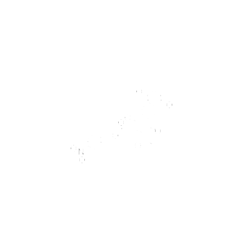 COc1ccc(OC)c2cc3c(cc12)C(=O)C1=C(C3=O)[C@@H](C)OC[C@@H]1C(=O)OCc1ccc([N+](=O)[O-])cc1